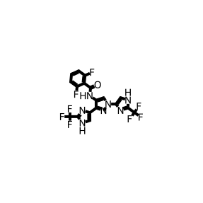 O=C(Nc1cn(-c2c[nH]c(C(F)(F)F)n2)nc1-c1c[nH]c(C(F)(F)F)n1)c1c(F)cccc1F